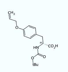 C=CCOc1ccc(C[C@@H](NC(=O)OC(C)(C)C)C(=O)O)cc1